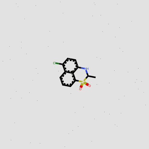 CC1Nc2ccc(Cl)c3cccc(c23)S1(=O)=O